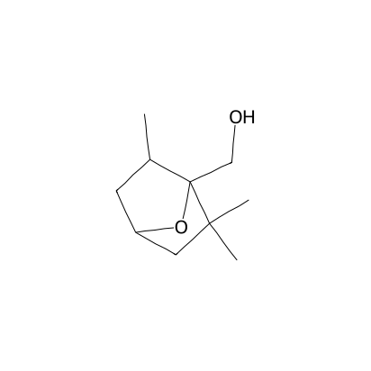 CC1CC2CC(C)(C)C1(CO)O2